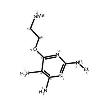 CCNc1nc(N)c(N)c(OCCNC)n1